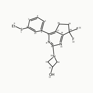 CCSc1cccc(-c2nc(N3CC(O)C3)nc3c2CCC3(F)F)c1